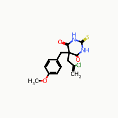 C=C(Cl)CC1(Cc2ccc(OC)cc2)C(=O)NC(=S)NC1=O